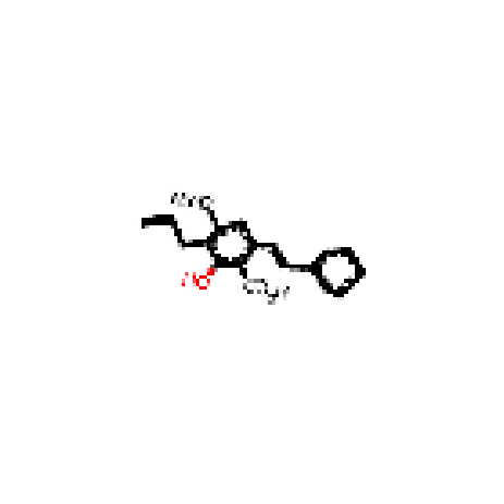 C=CCc1c(OC)cc(C=Cc2ccccc2)c(C(=O)O)c1O